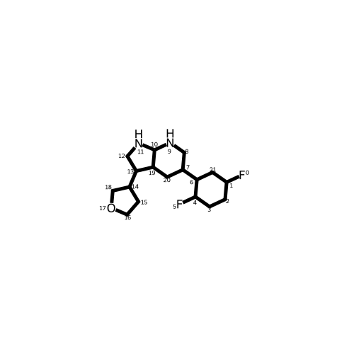 FC1CCC(F)C(C2CNC3NCC(C4CCOC4)C3C2)C1